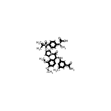 COc1ccc([C@H](Nc2cc(C)cc(C(N)=O)c2)C(=O)N2CCC[C@@H]2c2cc(N(C)C(=O)O)ccc2S(=O)(=O)C(C)C)cc1OC